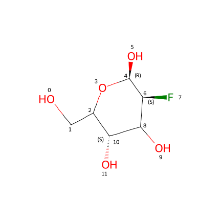 OCC1O[C@@H](O)[C@@H](F)C(O)[C@@H]1O